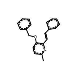 Cc1ccc(OCc2ccccc2)c(/C=C/c2ccccc2)n1